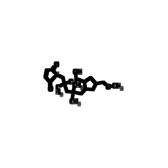 COCC1CC(CO)C(CC(C)(C)CC(C)(C)CN2C(=O)C=CC2=O)C1